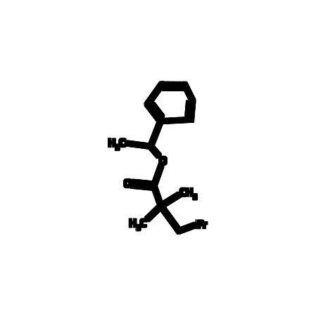 CC(C)CC(C)(C)C(=O)OC(C)c1ccccc1